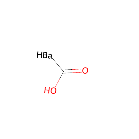 O=[C](O)[BaH]